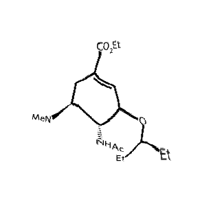 CCOC(=O)C1=CC(OC(CC)CC)[C@H](NC(C)=O)[C@@H](NC)C1